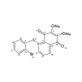 COC1=C(OC)C(=O)c2c(Sc3ccccc3Br)cccc2C1=O